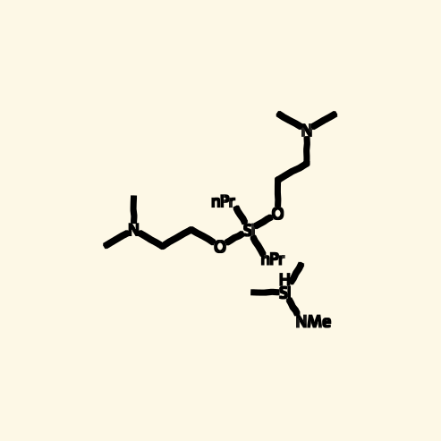 CCC[Si](CCC)(OCCN(C)C)OCCN(C)C.CN[SiH](C)C